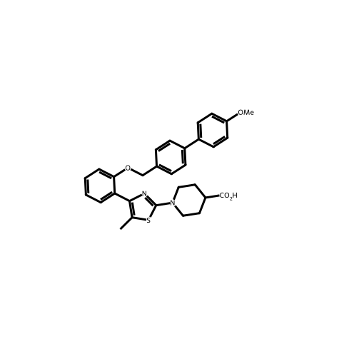 COc1ccc(-c2ccc(COc3ccccc3-c3nc(N4CCC(C(=O)O)CC4)sc3C)cc2)cc1